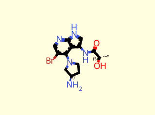 C[C@H](O)C(=O)Nc1c[nH]c2ncc(Br)c(N3CC[C@@H](N)C3)c12